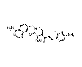 CCCC[C@H]1C(=O)N(Cc2ccc3c(N)ncnc3c2)CCN1C(=O)C=Cc1ccc(N)nc1C